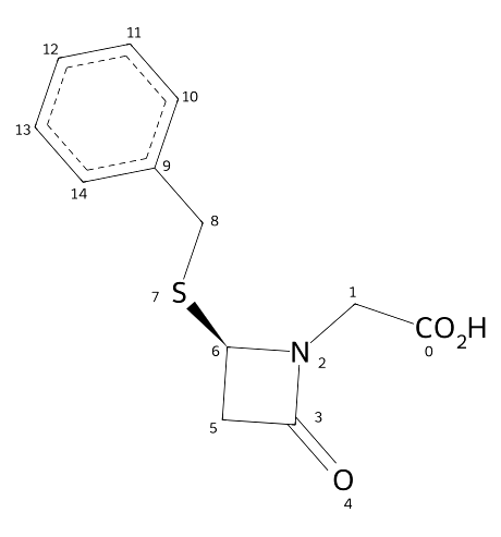 O=C(O)CN1C(=O)C[C@H]1SCc1ccccc1